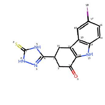 O=C1CC(c2n[nH]c(=S)[nH]2)Cc2c1[nH]c1ccc(I)cc21